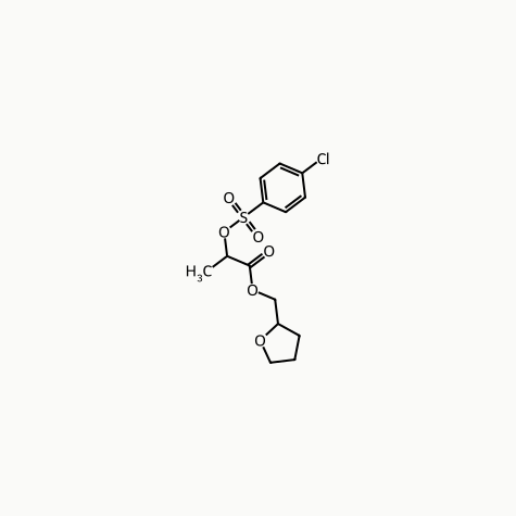 CC(OS(=O)(=O)c1ccc(Cl)cc1)C(=O)OCC1CCCO1